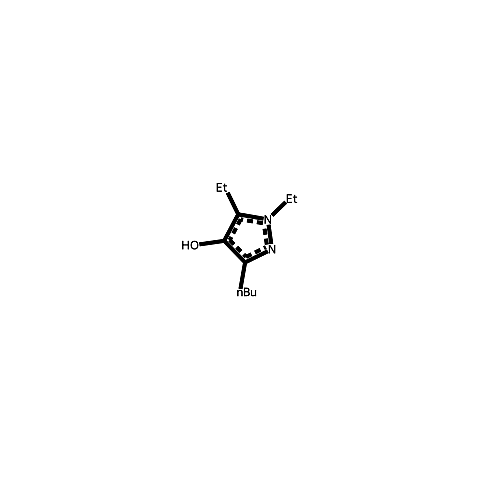 CCCCc1nn(CC)c(CC)c1O